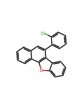 Clc1ccccc1-c1cc2ccccc2c2oc3ccccc3c12